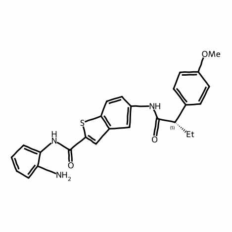 CC[C@H](C(=O)Nc1ccc2sc(C(=O)Nc3ccccc3N)cc2c1)c1ccc(OC)cc1